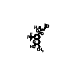 CCC(Cc1cc(C(F)(F)F)cc(S(=O)(=O)N(C)CC2CO2)c1)C(=O)O